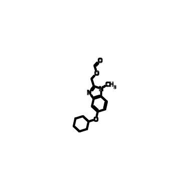 Cn1c(COC=O)nc2cc(OC3CCCCC3)ccc21